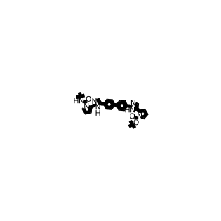 CC(C)(C)NC(=O)N1CCCC1c1ncc(-c2ccc(-c3ccc(-c4ncc(C5CCCN5C(=O)OC(C)(C)C)[nH]4)cc3)cc2)[nH]1